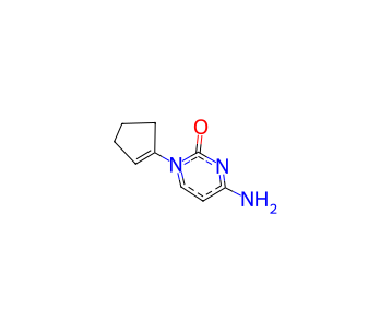 Nc1ccn(C2=CCCC2)c(=O)n1